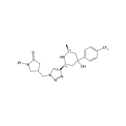 CC(C)N1CC(Cn2cc([C@@H]3CC(O)(c4ccc(C(F)(F)F)cc4)C[C@H](C)N3)nn2)CC1=O